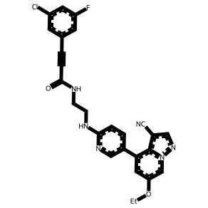 CCOc1cc(-c2ccc(NCCNC(=O)C#Cc3cc(F)cc(Cl)c3)nc2)c2c(C#N)cnn2c1